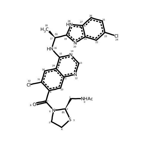 CC(=O)NC[C@H]1SCCN1C(=O)c1cc2ncnc(N[C@@H](C)c3nc4cc(Cl)ccc4[nH]3)c2cc1Cl